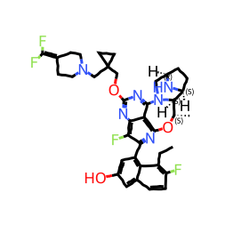 CCc1c(F)ccc2cc(O)cc(-c3nc4c5c(nc(OCC6(CN7CCC(=C(F)F)CC7)CC6)nc5c3F)N3C[C@H]5CC[C@H](N5)[C@H]3[C@H](C)O4)c12